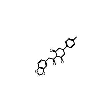 Cc1ccc(C2CC(=O)C(C(=O)Cc3ccc4c(c3)OCO4)C(=O)C2)cc1